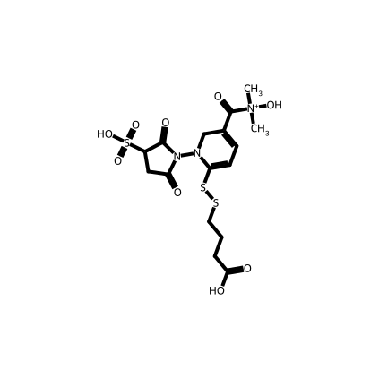 C[N+](C)(O)C(=O)C1=CC=C(SSCCCC(=O)O)N(N2C(=O)CC(S(=O)(=O)O)C2=O)C1